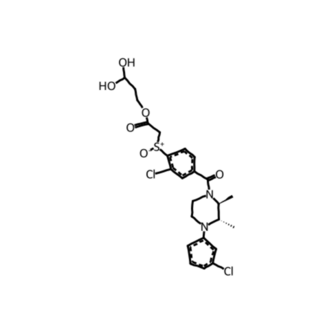 C[C@H]1[C@H](C)N(c2cccc(Cl)c2)CCN1C(=O)c1ccc([S+]([O-])CC(=O)OCCC(O)O)c(Cl)c1